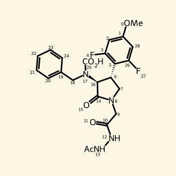 COc1cc(F)c([C@@H]2CN(CC(=O)NNC(C)=O)C(=O)[C@H]2N(Cc2ccccc2)C(=O)O)c(F)c1